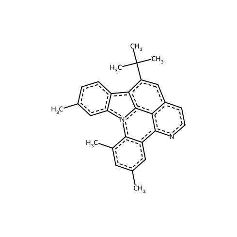 Cc1cc(C)c2c(c1)c1nccc3cc(C(C)(C)C)c4c5ccc(C)cc5n2c4c31